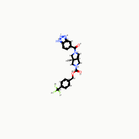 O=C(c1ccc2[nH]nnc2c1)N1C=C2CN(C(=O)OCc3ccc(C(F)(F)F)cc3)C[C@@H]2C1